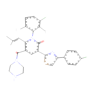 CCc1ccc(Cl)c(CC)c1-n1c(C=C(C)C)c(C(=O)N2CCNCC2)cc(-c2nc(-c3ccc(Cl)cc3)cs2)c1=O